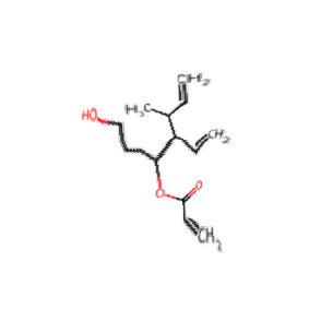 C=CC(=O)OC(CCO)C(C=C)C(C)C=C